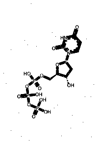 O=c1ccn(I2C[C@H](O)[C@@H](COP(=O)(O)OP(=O)(O)OP(=O)(O)O)O2)c(=O)[nH]1